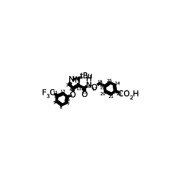 CC(C)(C)n1ncc(Oc2cccc(C(F)(F)F)c2)c1C(=O)NOCc1ccc(C(=O)O)cc1